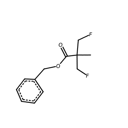 CC(CF)(CF)C(=O)OCc1ccccc1